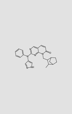 CC1C2CCC(C2)C1Cn1c(=O)ccc2cnc(N(c3ccccc3)c3cn[nH]c3)nc21